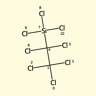 ClC(Cl)(Cl)C(Cl)(Cl)[Si](Cl)(Cl)Cl